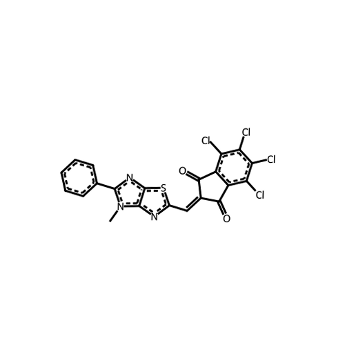 Cn1c(-c2ccccc2)nc2sc(C=C3C(=O)c4c(Cl)c(Cl)c(Cl)c(Cl)c4C3=O)nc21